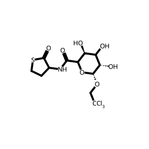 O=C1SCCC1NC(=O)C1O[C@@H](OCC(Cl)(Cl)Cl)[C@@H](O)C(O)[C@@H]1O